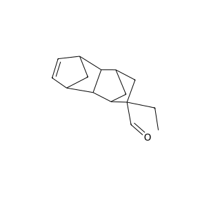 CCC1(C=O)CC2CC1C1C3C=CC(C3)C21